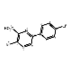 O=C(O)c1nc(-c2ccc(Cl)cc2)cnc1Br